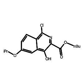 CCCCOC(=O)c1nc(Cl)c2ccc(OC(C)C)cc2c1O